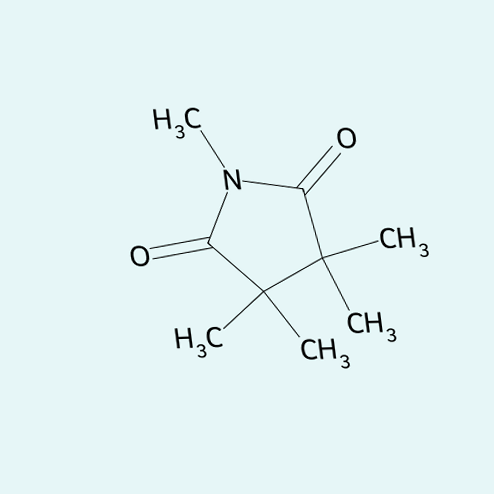 CN1C(=O)C(C)(C)C(C)(C)C1=O